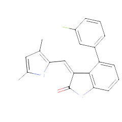 Cc1cc(C(=O)O)[nH]c1/C=C1\C(=O)Nc2cccc(-c3cccc(F)c3)c21